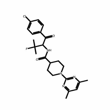 Cc1cc(C)nc(N2CCC(C(=O)NC(C(=O)c3ccc(Cl)cc3)C(C)(C)F)CC2)n1